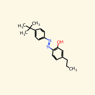 CCCc1ccc(/N=N/c2ccc(C(C)(C)C)cc2)c(O)c1